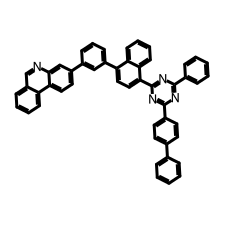 c1ccc(-c2ccc(-c3nc(-c4ccccc4)nc(-c4ccc(-c5cccc(-c6ccc7c(c6)ncc6ccccc67)c5)c5ccccc45)n3)cc2)cc1